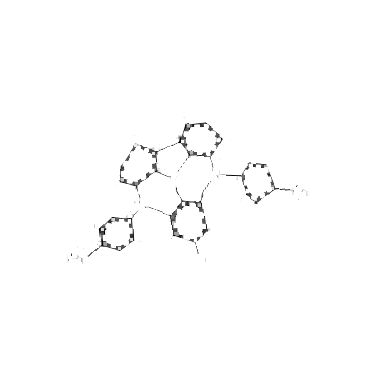 CCc1cc2c3c(c1)N(c1ccc(C(C)C)cc1)c1cccc4c1B3c1c-4cccc1N2c1ccc(C(C)C)cc1